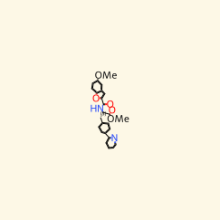 COC(=O)[C@H](Cc1ccc(-c2ccccn2)cc1)NC(=O)c1cc2cc(OC)ccc2o1